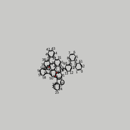 c1ccc(-c2ccccc2-c2cccc(N(c3ccc4c(c3)oc3ccccc34)c3cccc(-c4ccccc4-c4ccccc4)c3-c3cccc4c3oc3ccccc34)c2)cc1